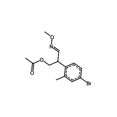 CON=CC(COC(C)=O)c1ccc(Br)cc1C